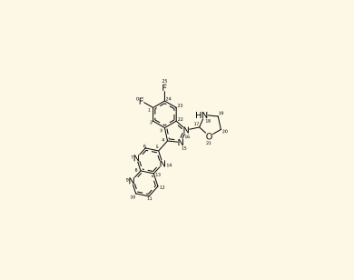 Fc1cc2c(-c3cnc4ncccc4n3)nn(C3NCCO3)c2cc1F